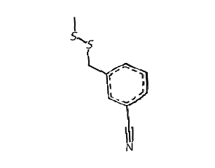 CSSCc1cccc(C#N)c1